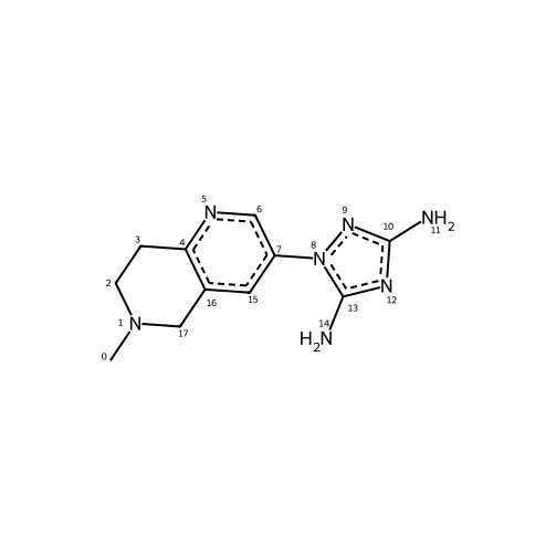 CN1CCc2ncc(-n3nc(N)nc3N)cc2C1